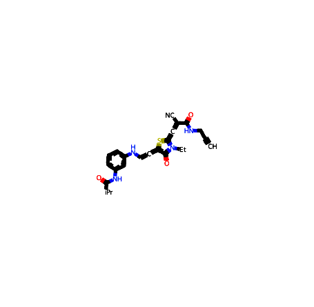 C#CCNC(=O)C(=C=c1sc(=C=CNc2cccc(NC(=O)C(C)C)c2)c(=O)n1CC)C#N